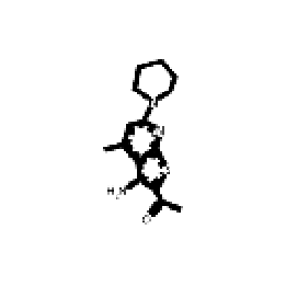 CC(=O)c1sc2nc(N3CCCCC3)cc(C)c2c1N